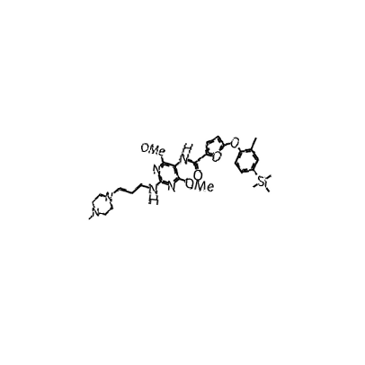 COc1nc(NCCCN2CCN(C)CC2)nc(OC)c1NC(=O)c1ccc(Oc2ccc([Si](C)(C)C)cc2C)o1